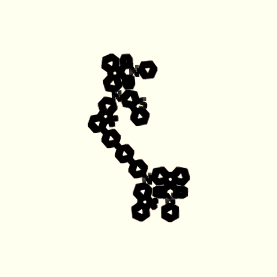 CC1(C)c2ccccc2-c2ccc(N(c3ccc(-c4ccc(-c5ccc(-c6cccc7c6C(C)(C)c6cc(N(c8ccc9c(c8)C8(c%10ccccc%10-9)c9ccccc9N(c9ccccc9)c9ccccc98)c8ccc9sc%10ccccc%10c9c8)ccc6-7)cc5)cc4)cc3)c3ccc4c(c3)C3(c5ccccc5-4)c4ccccc4N(c4ccccc4)c4ccccc43)cc21